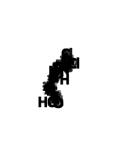 C[C@@H](Nc1cccc2nc(N3CC([C@H]4CCCN(C5CC(C)(C(=O)O)C5)C4)C3)oc12)c1ccc(Cl)cc1Cl